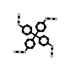 O=C=Nc1ccc(C(c2ccc(N=C=O)cc2)(c2ccc(N=C=O)cc2)c2ccc(N=C=O)cc2)cc1